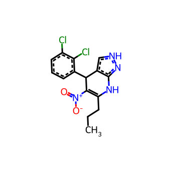 CCCC1=C([N+](=O)[O-])C(c2cccc(Cl)c2Cl)c2c[nH]nc2N1